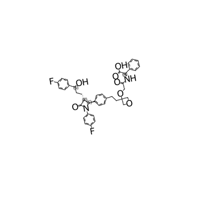 O=C(COC1(CCc2ccc([C@@H]3[C@@H](CC[C@H](O)c4ccc(F)cc4)C(=O)N3c3ccc(F)cc3)cc2)COC1)N[C@@H](C(=O)O)c1ccccc1